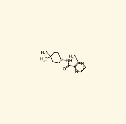 CC1(N)CCN(NC(=O)c2nccnc2N)CC1